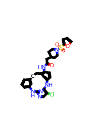 O=C(CC1CCN(S(=O)(=O)c2ccco2)CC1)Nc1ccc2cc1CCc1cccc(c1)Nc1ncc(Cl)c(n1)N2